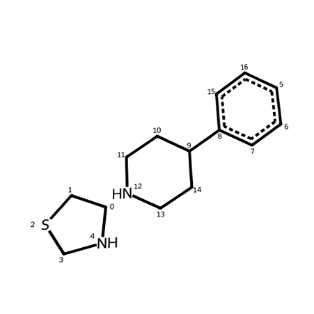 C1CSCN1.c1ccc(C2CCNCC2)cc1